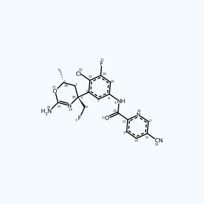 C[C@@H]1C[C@](CF)(c2cc(NC(=O)c3ccc(C#N)cn3)cc(F)c2Cl)N=C(N)O1